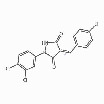 O=C1NN(c2ccc(Cl)c(Cl)c2)C(=O)/C1=C/c1ccc(Cl)cc1